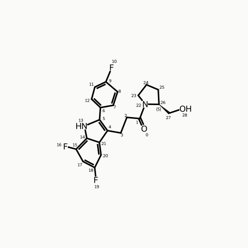 O=C(CCc1c(-c2ccc(F)cc2)[nH]c2c(F)cc(F)cc12)N1CCC[C@H]1CO